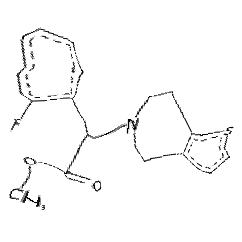 COC(=O)C(c1ccccc1F)N1CCc2sccc2C1